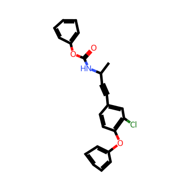 CC(C#Cc1ccc(Oc2ccccc2)c(Cl)c1)NC(=O)Oc1ccccc1